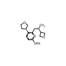 CSc1ccc([C@H]2CCOC2)c(CN(C)C2COC2)n1